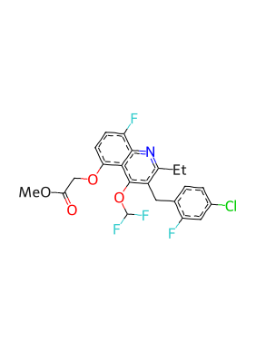 CCc1nc2c(F)ccc(OCC(=O)OC)c2c(OC(F)F)c1Cc1ccc(Cl)cc1F